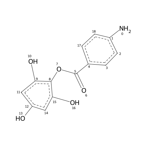 Nc1ccc(C(=O)Oc2c(O)cc(O)cc2O)cc1